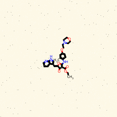 CCOC(=O)C1=C(Nc2ccc(OCCN3CCOCC3)cc2C)OC(=Cc2c[nH]c3ncccc23)C1=O